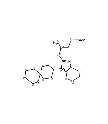 CNCCN(C)Cc1nn2c(c1[C@H]1CC[C@]3(CCCCO3)CC1)COCC2